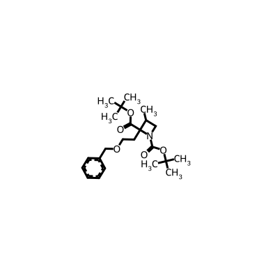 CC1CN(C(=O)OC(C)(C)C)C1(CCOCc1ccccc1)C(=O)OC(C)(C)C